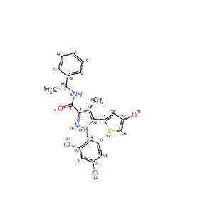 Cc1c(C(=O)N[C@H](C)c2ccccc2)nn(-c2ccc(Cl)cc2Cl)c1-c1cc(Br)cs1